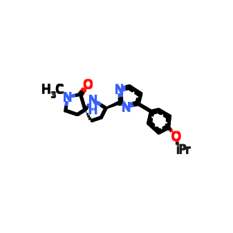 CC(C)Oc1ccc(-c2ccnc([C@H]3CC[C@@]4(CCN(C)C4=O)N3)n2)cc1